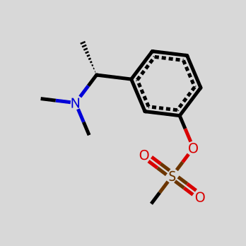 C[C@H](c1cccc(OS(C)(=O)=O)c1)N(C)C